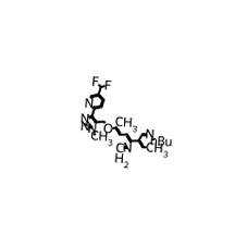 C=NC(=C\C=C(/C)OCc1c(-c2ccc(C(F)F)cn2)nnn1C)/C(/C=N\CCCC)=C/C